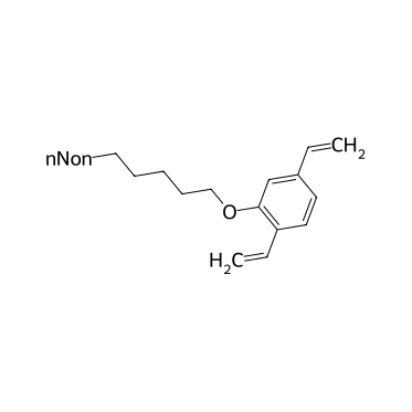 C=Cc1ccc(C=C)c(OCCCCCCCCCCCCCC)c1